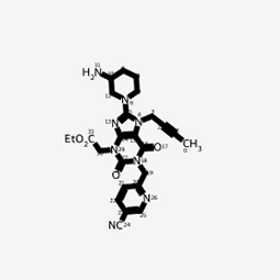 CC#CCn1c(N2CCCC(N)C2)nc2c1c(=O)n(Cc1ccc(C#N)cn1)c(=O)n2CC(=O)OCC